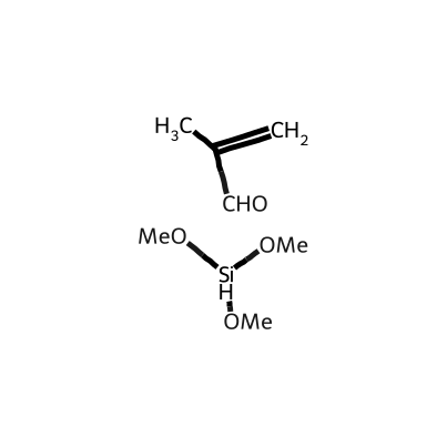 C=C(C)C=O.CO[SiH](OC)OC